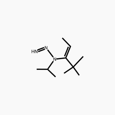 C/C=C(\N(N=N)C(C)C)C(C)(C)C